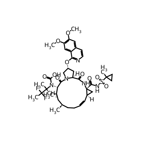 COc1cc2ccnc(O[C@@H]3C[C@H]4C(=O)N[C@]5(C(=O)NS(=O)(=O)C6(C)CC6)C[C@H]5/C=C\CC[C@@H](C)C[C@@H](C)[C@H](N(C(=O)O)C(C)(C)C(C)(F)F)C(=O)N4C3)c2cc1OC